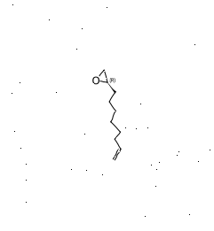 C=CCCCCCC[C@@H]1CO1